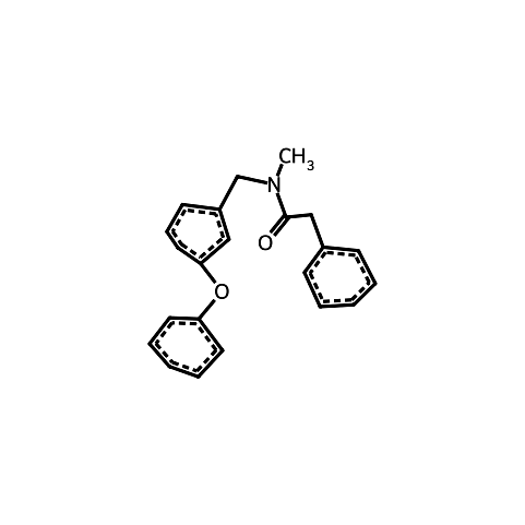 CN(Cc1cccc(Oc2ccccc2)c1)C(=O)Cc1ccccc1